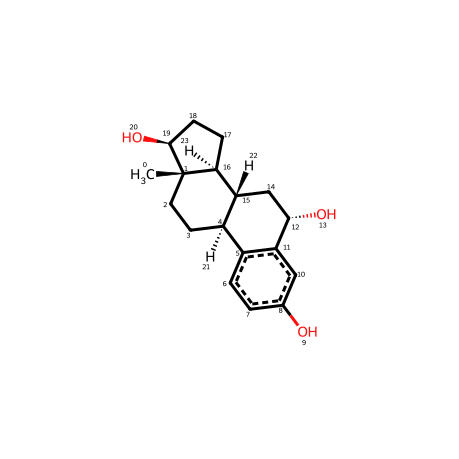 C[C@]12CC[C@@H]3c4ccc(O)cc4[C@@H](O)C[C@H]3[C@@H]1CC[C@@H]2O